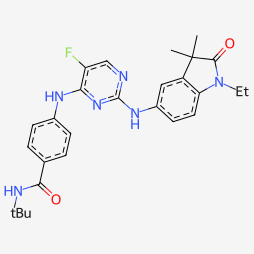 CCN1C(=O)C(C)(C)c2cc(Nc3ncc(F)c(Nc4ccc(C(=O)NC(C)(C)C)cc4)n3)ccc21